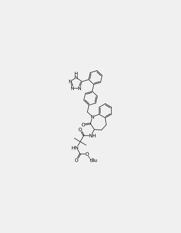 CC(C)(C)OC(=O)NC(C)(C)C(=O)NC1CCc2ccccc2N(Cc2ccc(-c3ccccc3-c3nnn[nH]3)cc2)C1=O